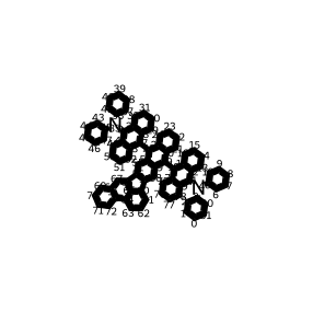 c1ccc(N(c2ccccc2)c2c3ccccc3c(-c3c4ccccc4c(-c4c5ccccc5c(N(c5ccccc5)c5ccccc5)c5ccccc45)c4cc5c(cc34)-c3cccc4c3c-5cc3ccccc34)c3ccccc23)cc1